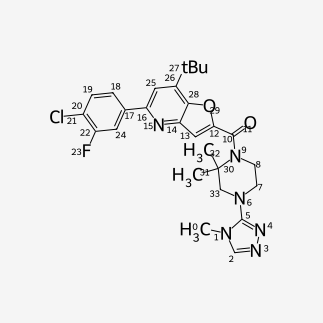 Cn1cnnc1N1CCN(C(=O)c2cc3nc(-c4ccc(Cl)c(F)c4)cc(C(C)(C)C)c3o2)C(C)(C)C1